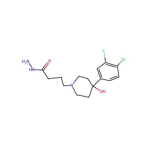 NNC(=O)CCCN1CCC(O)(c2ccc(Cl)c(F)c2)CC1